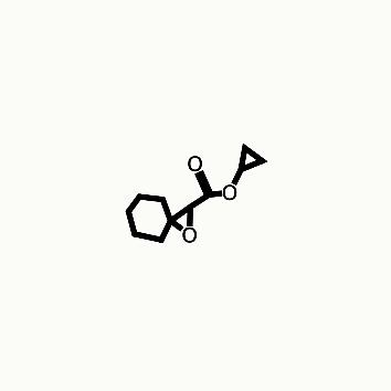 O=C(OC1CC1)C1OC12CCCCC2